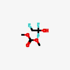 COC(=O)OC.OC(F)(F)CF